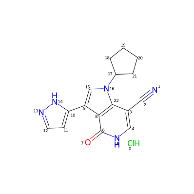 Cl.N#Cc1c[nH]c(=O)c2c(-c3ccn[nH]3)cn(C3CCCC3)c12